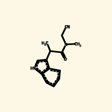 CC(C(=O)N(C)CC#N)c1c[nH]c2ccccc12